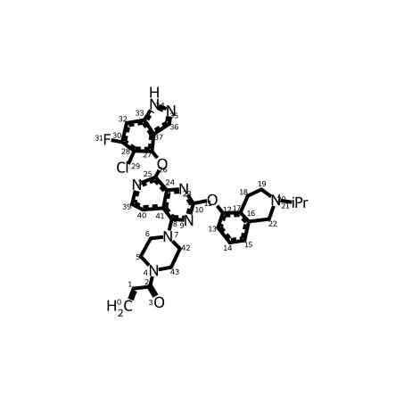 C=CC(=O)N1CCN(c2nc(Oc3cccc4c3CCN(C(C)C)C4)nc3c(Oc4c(Cl)c(F)cc5[nH]ncc45)nccc23)CC1